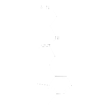 CC(=O)NCCNC(=S)COc1cccc(C)c1C